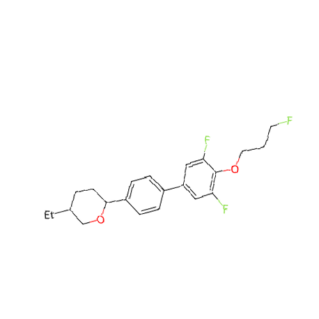 CCC1CCC(c2ccc(-c3cc(F)c(OCCCF)c(F)c3)cc2)OC1